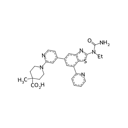 CCN(C(N)=O)c1nc2cc(-c3ccnc(N4CCC(C)(C(=O)O)CC4)c3)cc(-c3ccccn3)c2s1